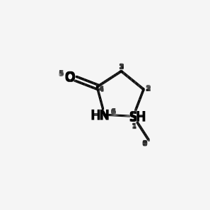 C[SH]1CCC(=O)N1